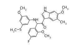 COc1cc(NC(C(=O)c2c[nH]c3cc(OC)c(C)cc23)c2ccc(F)cc2OC)cc(SC)c1